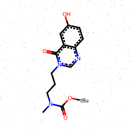 CN(CCCn1cnc2ccc(O)cc2c1=O)C(=O)OC(C)(C)C